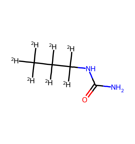 [2H]C([2H])([2H])C([2H])([2H])C([2H])([2H])NC(N)=O